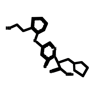 COC(=O)C(CC1CCCC1)n1ncc(Oc2ccccc2CCO)cc1=O